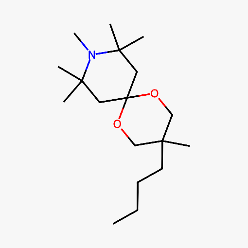 CCCCC1(C)COC2(CC(C)(C)N(C)C(C)(C)C2)OC1